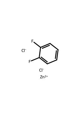 Fc1ccccc1F.[Cl-].[Cl-].[Zn+2]